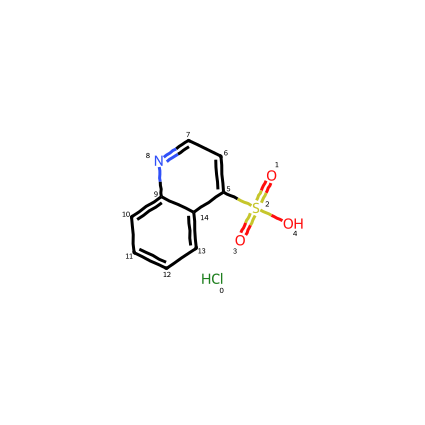 Cl.O=S(=O)(O)c1ccnc2ccccc12